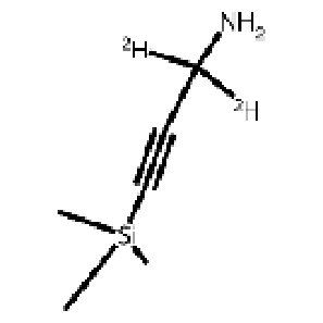 [2H]C([2H])(N)C#C[Si](C)(C)C